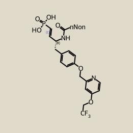 CCCCCCCCCC(=O)N[C@@H](/C=C/P(=O)(O)O)Cc1ccc(OCc2cc(OCC(F)(F)F)ccn2)cc1